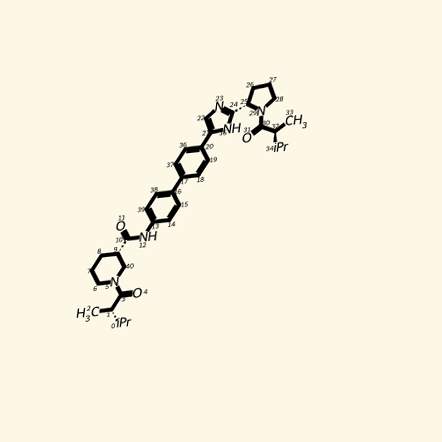 CC(C)[C@H](C)C(=O)N1CCC[C@H](C(=O)Nc2ccc(-c3ccc(-c4cnc([C@@H]5CCCN5C(=O)[C@@H](C)C(C)C)[nH]4)cc3)cc2)C1